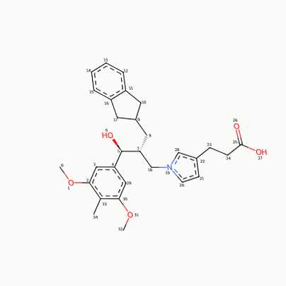 COc1cc([C@@H](O)[C@H](CC2Cc3ccccc3C2)Cn2ccc(CCC(=O)O)c2)cc(OC)c1C